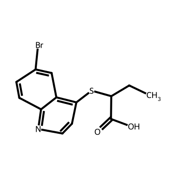 CCC(Sc1ccnc2ccc(Br)cc12)C(=O)O